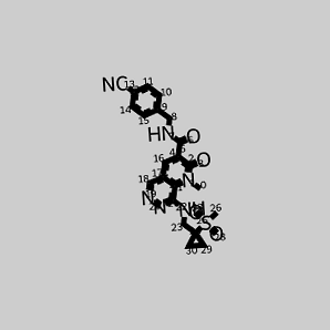 Cn1c(=O)c(C(=O)NCc2ccc(C#N)cc2)cc2cnnc(NCC3(S(C)(=O)=O)CC3)c21